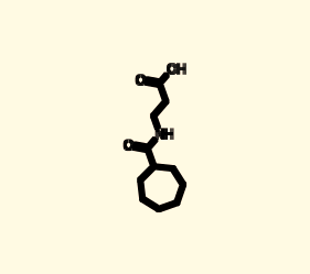 O=C(O)CCNC(=O)C1CCCCCC1